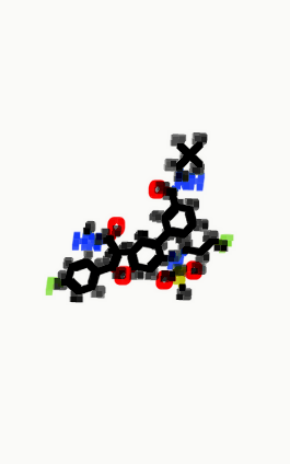 CNC(=O)c1c(-c2ccc(F)cc2)oc2cc(N(CCCF)S(C)(=O)=O)c(-c3cccc(C(=O)NCC(C)(C)C)c3)cc12